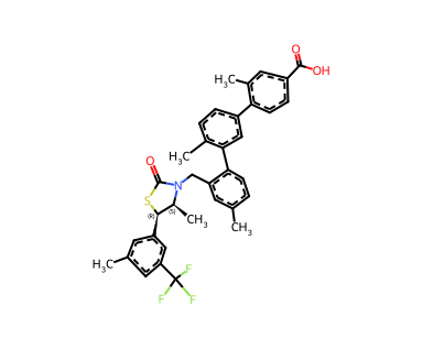 Cc1cc([C@H]2SC(=O)N(Cc3cc(C)ccc3-c3cc(-c4ccc(C(=O)O)cc4C)ccc3C)[C@H]2C)cc(C(F)(F)F)c1